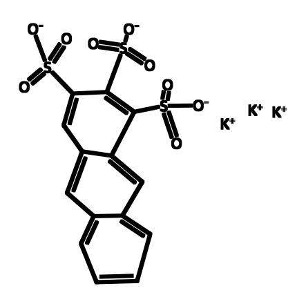 O=S(=O)([O-])c1cc2cc3ccccc3cc2c(S(=O)(=O)[O-])c1S(=O)(=O)[O-].[K+].[K+].[K+]